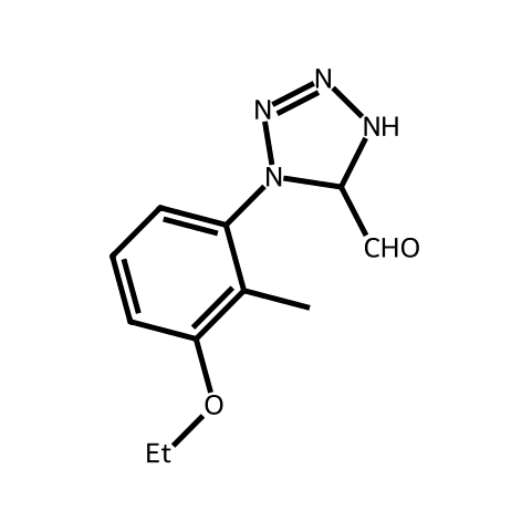 CCOc1cccc(N2N=NNC2C=O)c1C